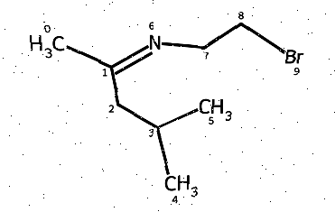 CC(CC(C)C)=NCCBr